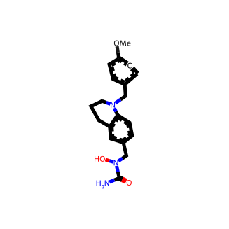 COc1ccc(CN2CCCc3cc(CN(O)C(N)=O)ccc32)cc1